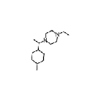 CCN1CCN(C(C)C2CCC(C)CC2)CC1